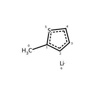 Cc1cccs1.[Li]